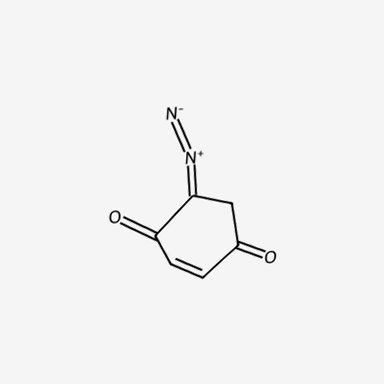 [N-]=[N+]=C1CC(=O)C=CC1=O